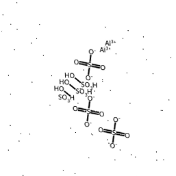 O=S(=O)(O)O.O=S(=O)(O)O.O=S(=O)(O)O.O=S(=O)([O-])[O-].O=S(=O)([O-])[O-].O=S(=O)([O-])[O-].[Al+3].[Al+3]